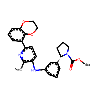 COc1nc(-c2cccc3c2OCCO3)ccc1Nc1cccc([C@@H]2CCCN2C(=O)OC(C)(C)C)c1